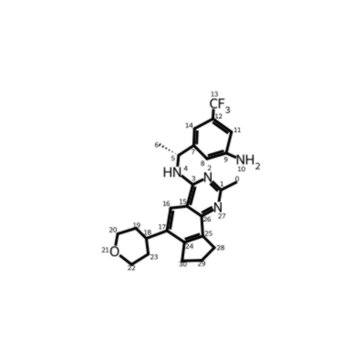 Cc1nc(N[C@H](C)c2cc(N)cc(C(F)(F)F)c2)c2cc(C3CCOCC3)c3c(c2n1)CCC3